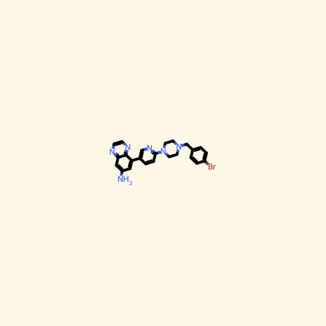 Nc1cc(-c2ccc(N3CCN(Cc4ccc(Br)cc4)CC3)nc2)c2nccnc2c1